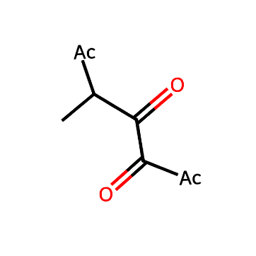 CC(=O)C(=O)C(=O)C(C)C(C)=O